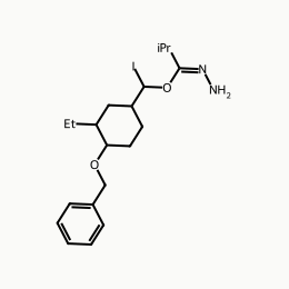 CCC1CC(C(I)O/C(=N\N)C(C)C)CCC1OCc1ccccc1